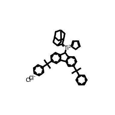 CC(C)(c1ccccc1)c1ccc2c(c1)-c1cc(C(C)(C)c3ccccc3)ccc1[CH]2[Ti+2]([C]1=CC=CC1)=[C]1C2CC3CC(C2)CC1C3.[Cl-].[Cl-]